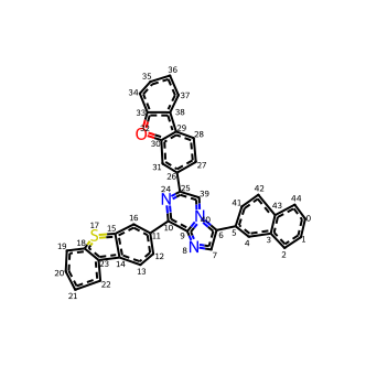 c1ccc2cc(-c3cnc4c(-c5ccc6c(c5)sc5ccccc56)nc(-c5ccc6c(c5)oc5ccccc56)cn34)ccc2c1